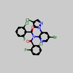 O=C(c1c(F)cccc1Cl)N(C(=O)c1c(F)cccc1Cl)c1ncc(Br)cc1-n1cc(Cl)cn1